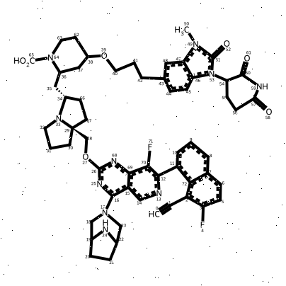 C#Cc1c(F)ccc2cccc(-c3ncc4c(N5CC6CCC(C5)N6)nc(OC[C@@]56CCCN5[C@H](CC5CC(OCCCc7ccc8c(c7)n(C)c(=O)n8C7CCC(=O)NC7=O)CCN5C(=O)O)CC6)nc4c3F)c12